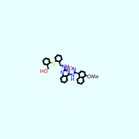 COc1ccc(/C(=N/O)Nc2nc(NCc3ccccc3Sc3ccccc3CO)nc3ccccc23)c2ccccc12